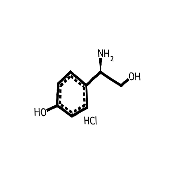 Cl.N[C@@H](CO)c1ccc(O)cc1